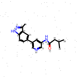 Cc1n[nH]c2ccc(-c3cncc(NC(=O)CC(C)C)c3)cc12